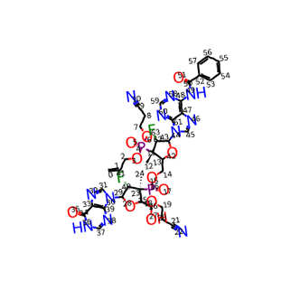 C=CCOP(=O)(OCCC#N)[C@@]1(C)C(COP(=O)(OCCC#N)[C@@]2(C)C(CO)OC(n3cnc4c(=O)[nH]cnc43)[C@@H]2F)OC(n2cnc3c(NC(=O)c4ccccc4)ncnc32)[C@@H]1F